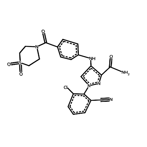 N#Cc1cccc(Cl)c1-n1cc(Nc2ccc(C(=O)N3CCS(=O)(=O)CC3)cc2)c(C(N)=O)n1